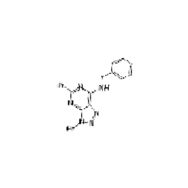 CC(C)c1nc(NCc2ccccc2)c2nnn(C(C)C)c2n1